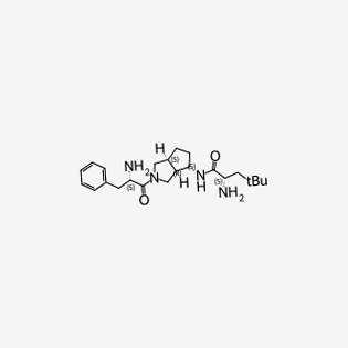 CC(C)(C)C[C@H](N)C(=O)N[C@H]1CC[C@@H]2CN(C(=O)[C@@H](N)Cc3ccccc3)C[C@@H]21